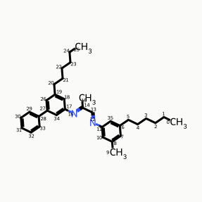 CCCCCCc1cc(C)cc(N=CC(C)=Nc2cc(CCCCCC)cc(-c3ccccc3)c2)c1